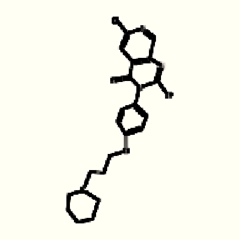 CCc1nc2cnc(Cl)cc2c(=O)n1-c1ccc(OCCCN2CCCCC2)cc1